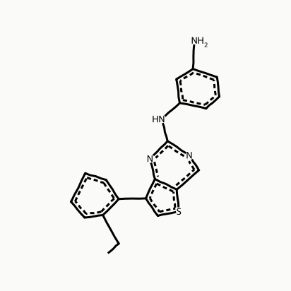 CCc1ccccc1-c1csc2cnc(Nc3cccc(N)c3)nc12